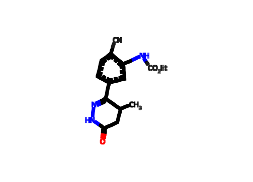 CCOC(=O)Nc1cc(C2=NNC(=O)CC2C)ccc1C#N